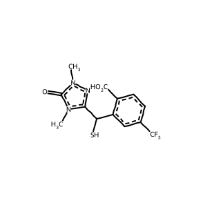 Cn1nc(C(S)c2cc(C(F)(F)F)ccc2C(=O)O)n(C)c1=O